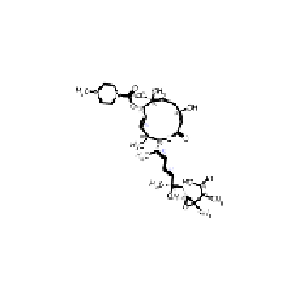 CC[C@H](O)[C@@H](C)C1(C)O[C@@H]1C[C@@](C)(O)/C=C/C=C(\C)[C@H]1OC(=O)C[C@H](O)CC[C@@](C)(OC(C)=O)[C@@H](OC(=O)N2CCN(C)CC2)/C=C/[C@@H]1C